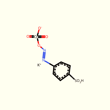 O=S(=O)(O)c1ccc(N=N[O][Cr](=[O])(=[O])[O-])cc1.[K+]